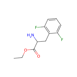 CCOC(=O)C(N)Cc1c(F)cccc1F